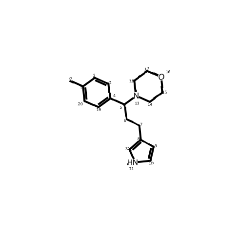 Cc1ccc(C(CCc2cc[nH]c2)N2CCOCC2)cc1